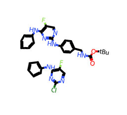 CC(C)(C)OC(=O)NCc1ccc(Nc2ncc(F)c(Nc3ccccc3)n2)cc1.Fc1cnc(Cl)nc1Nc1ccccc1